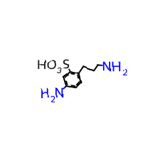 NCCCc1ccc(N)cc1S(=O)(=O)O